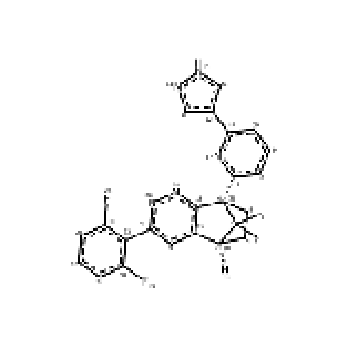 CC1(C)[C@H]2CC[C@]1(c1cccc(-c3cn[nH]c3)n1)c1nnc(-c3c(F)cccc3F)cc12